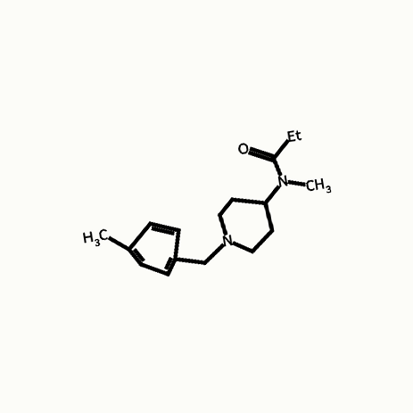 CCC(=O)N(C)C1CCN(Cc2ccc(C)cc2)CC1